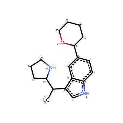 CC(c1c[nH]c2ccc(C3CCCCO3)cc12)C1CCCN1